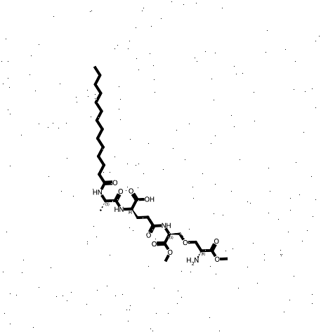 CCCCCCCCCCCCCC(=O)N[C@@H](C)C(=O)N[C@H](CCC(=O)N[C@@H](COC[C@@H](N)C(=O)OC)C(=O)OC)C(=O)O